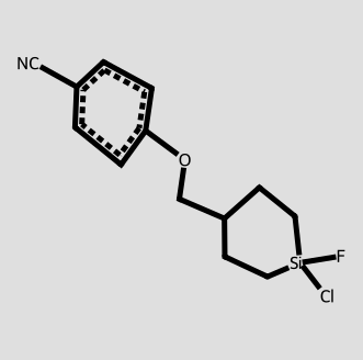 N#Cc1ccc(OCC2CC[Si](F)(Cl)CC2)cc1